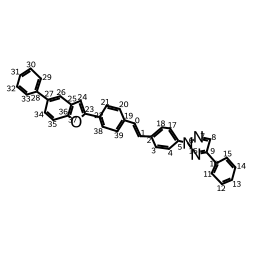 C(=Cc1ccc(-n2ncc(-c3ccccc3)n2)cc1)c1ccc(-c2cc3cc(-c4ccccc4)ccc3o2)cc1